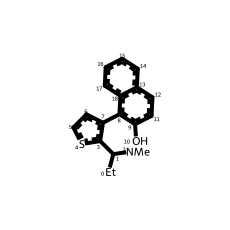 CCC(NC)c1sccc1-c1c(O)ccc2ccccc12